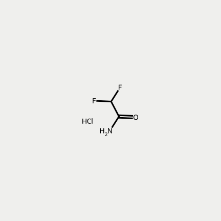 Cl.NC(=O)C(F)F